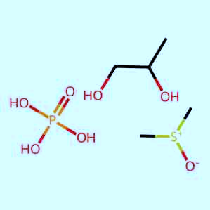 CC(O)CO.C[S+](C)[O-].O=P(O)(O)O